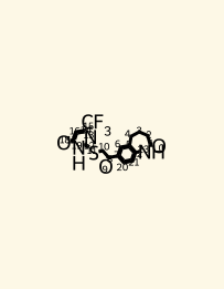 O=C1CCCc2cc(C(=O)CSc3nc(C(F)(F)F)cc(=O)[nH]3)ccc2N1